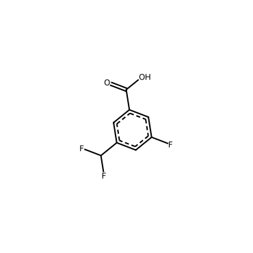 O=C(O)c1cc(F)cc(C(F)F)c1